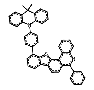 CC1(C)c2ccccc2N(c2ccc(-c3cccc4c3sc3c4ccc4c(-c5ccccc5)nc5ccccc5c43)cc2)c2ccccc21